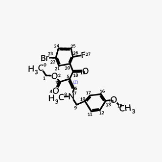 CCOC(=O)/C(=C\N(C)Cc1ccc(OC)cc1)C(=O)c1cc(Br)ccc1F